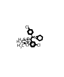 CC(C)(C)[Si](C)(C)O[C@@H](c1cccc(Cl)c1)[C@@H](c1ccc(Cl)cc1)N1C2CCCCC21